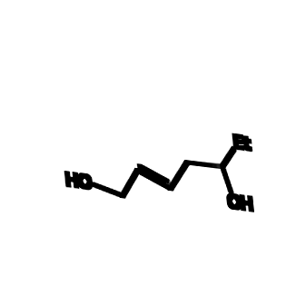 CCC(O)CC=CCO